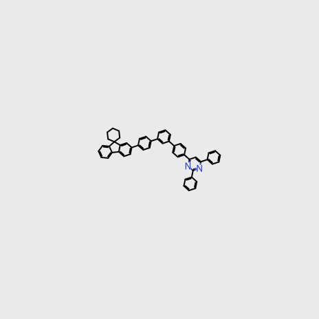 c1ccc(-c2cc(-c3ccc(-c4cccc(-c5ccc(-c6ccc7c(c6)C6(CCCCC6)c6ccccc6-7)cc5)c4)cc3)nc(-c3ccccc3)n2)cc1